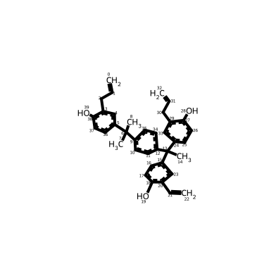 C=CCc1cc(C(C)(C)c2ccc(C(C)(c3ccc(O)c(C=C)c3)c3ccc(O)c(CC=C)c3)cc2)ccc1O